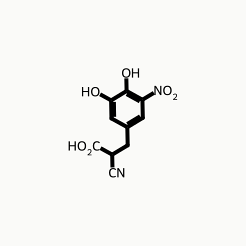 N#CC(Cc1cc(O)c(O)c([N+](=O)[O-])c1)C(=O)O